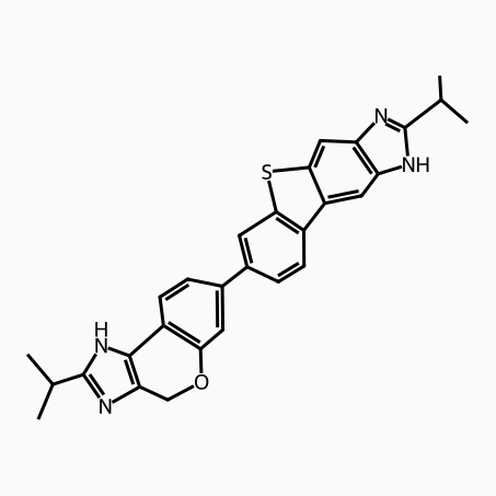 CC(C)c1nc2c([nH]1)-c1ccc(-c3ccc4c(c3)sc3cc5nc(C(C)C)[nH]c5cc34)cc1OC2